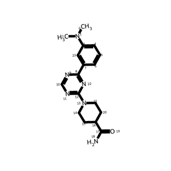 CN(C)c1cccc(-c2ncnc(N3CCC(C(N)=O)CC3)n2)c1